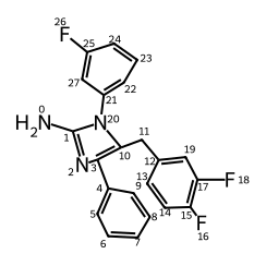 Nc1nc(-c2ccccc2)c(Cc2ccc(F)c(F)c2)n1-c1cccc(F)c1